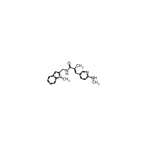 CNc1ccc(C=C(C)C(=O)NCc2cc3ccccc3n2C)cn1